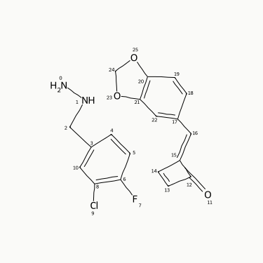 NNCc1ccc(F)c(Cl)c1.O=C1C=CC1=Cc1ccc2c(c1)OCO2